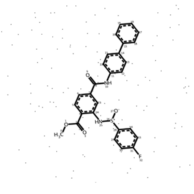 COC(=O)c1ccc(C(=O)Nc2ccc(-c3ccccc3)cc2)cc1N[S+]([O-])c1ccc(F)cc1